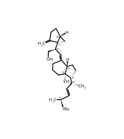 C=C1CC[C@@H]2C[C@]12[C@@H](/C=C1\CCC[C@]2(C)[C@@H]([C@H](C)/C=C/[C@H](C)C(C)(C)C)CC[C@@H]12)CO